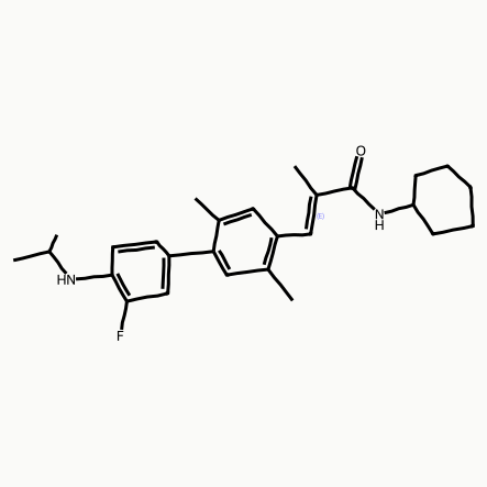 C/C(=C\c1cc(C)c(-c2ccc(NC(C)C)c(F)c2)cc1C)C(=O)NC1CCCCC1